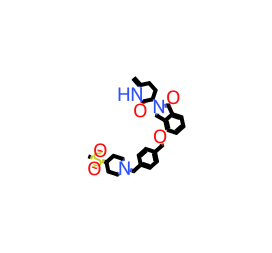 C=C1CCC(N2Cc3c(OCc4ccc(CN5CCC(S(C)(=O)=O)CC5)cc4)cccc3C2=O)C(=O)N1